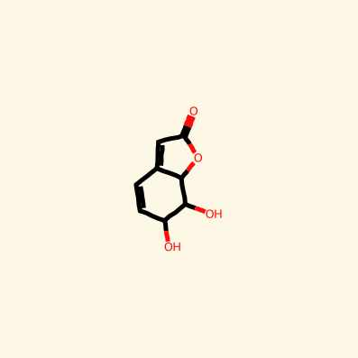 O=C1C=C2C=CC(O)C(O)C2O1